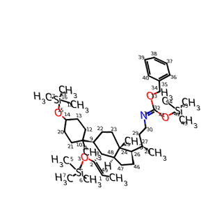 C/C=C(/O[Si](C)(C)C)[C@@H]1[C@@H](C2(C)CCC(O[Si](C)(C)C)CC2)CC[C@]2(C)[C@@H]([C@H](C)CC/N=C(/OCc3ccccc3)O[Si](C)(C)C)CC[C@@H]12